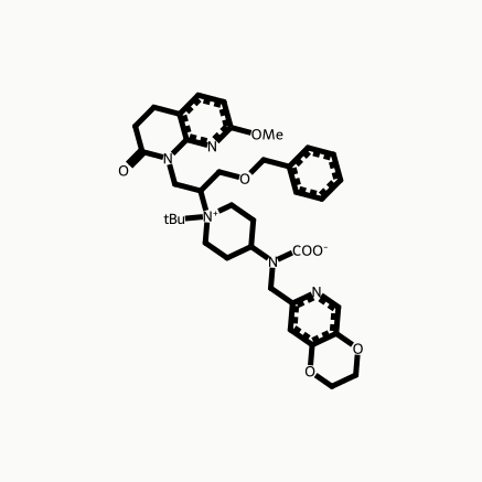 COc1ccc2c(n1)N(CC(COCc1ccccc1)[N+]1(C(C)(C)C)CCC(N(Cc3cc4c(cn3)OCCO4)C(=O)[O-])CC1)C(=O)CC2